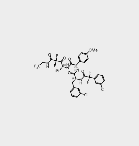 COc1ccc([C@H](NC(=O)[C@H](Cc2cccc(Cl)c2)NC(=O)C(F)(F)c2cccc(Cl)c2)C(=O)N[C@H](C(=O)C(F)(F)C(=O)NCC(F)(F)F)C(C)C)cc1